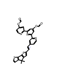 CC1(C)c2ccsc2-c2sc(/C=C/c3ccnc(-c4cc(OC=O)cc(-c5cc(OC=O)ccn5)n4)c3)cc21